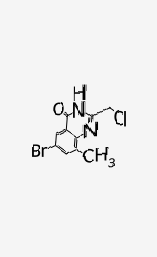 Cc1cc(Br)cc2c(=O)[nH]c(CCl)nc12